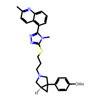 COc1ccc(C23C[C@H]2CN(CCCSc2nnc(-c4cccc5nc(C)ccc45)n2C)C3)cc1